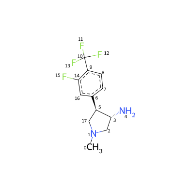 CN1C[C@@H](N)[C@H](c2ccc(C(F)(F)F)c(F)c2)C1